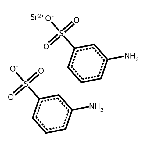 Nc1cccc(S(=O)(=O)[O-])c1.Nc1cccc(S(=O)(=O)[O-])c1.[Sr+2]